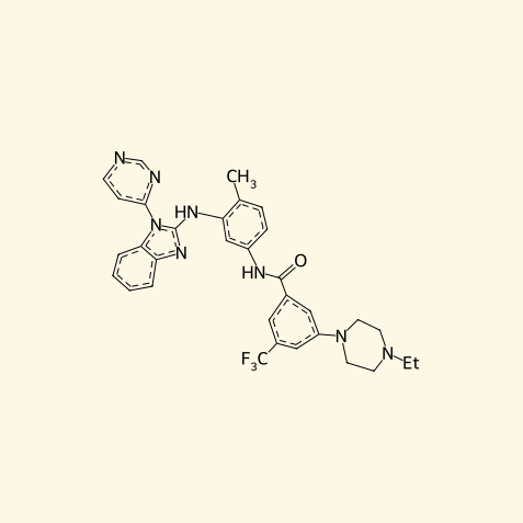 CCN1CCN(c2cc(C(=O)Nc3ccc(C)c(Nc4nc5ccccc5n4-c4ccncn4)c3)cc(C(F)(F)F)c2)CC1